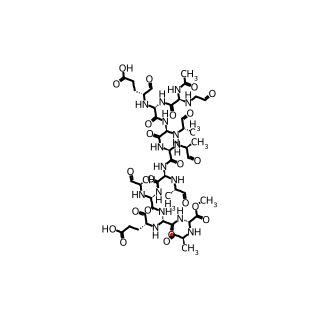 COC(=O)[C@@H](NC(=O)[C@@H](NC(=O)[C@@H](NC(=O)[C@@H](NC(=O)[C@@H](NC(=O)[C@@H](NC(=O)[C@@H](NC(=O)[C@H](NCC=O)NC(C)=O)N[C@@H](C=O)CCC(=O)O)N[C@@H](C)C=O)N[C@@H](C)C=O)N[C@@H](C)C=O)N[C@@H](C)C=O)N[C@@H](C=O)CCC(=O)O)N[C@@H](C)C=O